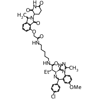 C=C1c2cccc(OCC(=O)NCCCCCNC(=O)[C@H](CC)[C@@H]3N=C(c4ccc(Cl)cc4)c4cc(OC)ccc4-n4c(C)nnc43)c2C(=O)N1C1CCC(=O)NC1=O